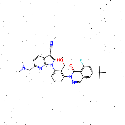 CN(C)Cc1ccc2c(C#N)cn(-c3cccc(-n4ncc5cc(C(C)(C)C)cc(F)c5c4=O)c3CO)c2n1